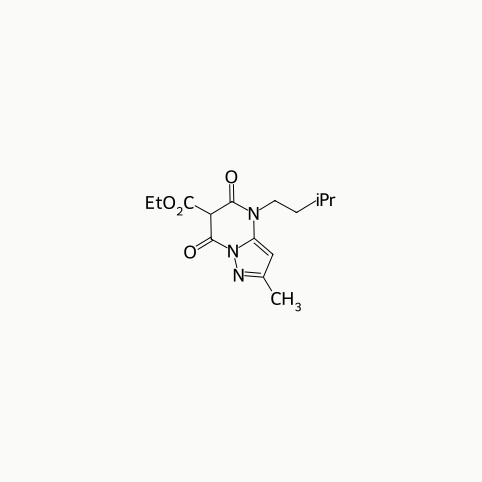 CCOC(=O)C1C(=O)N(CCC(C)C)c2cc(C)nn2C1=O